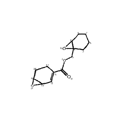 O=C(OCC12CCCCC1O2)C1=CC2OC2CC1